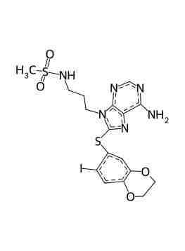 CS(=O)(=O)NCCCn1c(Sc2cc3c(cc2I)OCCO3)nc2c(N)ncnc21